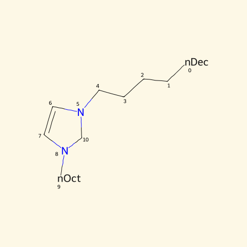 CCCCCCCCCCCCCCN1C=CN(CCCCCCCC)C1